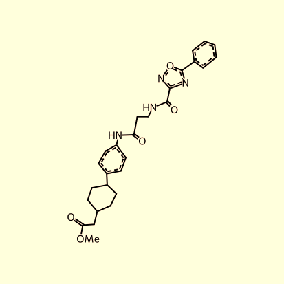 COC(=O)CC1CCC(c2ccc(NC(=O)CCNC(=O)c3noc(-c4ccccc4)n3)cc2)CC1